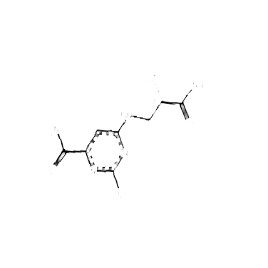 NC(=O)c1cc(NC[C@H](O)C(N)=O)nc(Cl)n1